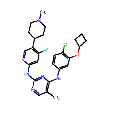 Cc1cnc(Nc2cc(F)c(C3CCN(C)CC3)cn2)nc1Nc1ccc(Cl)c(OC2CCC2)c1